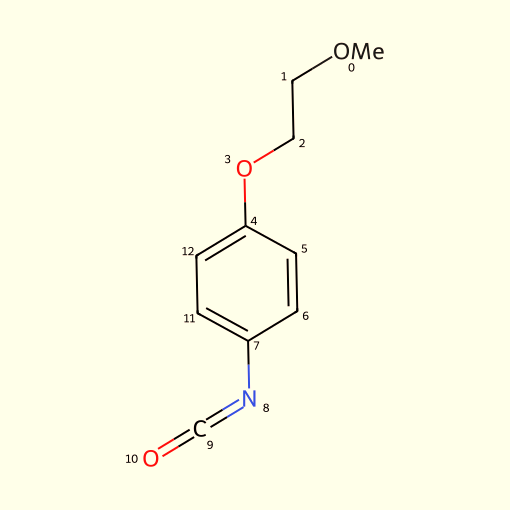 COCCOc1ccc(N=C=O)cc1